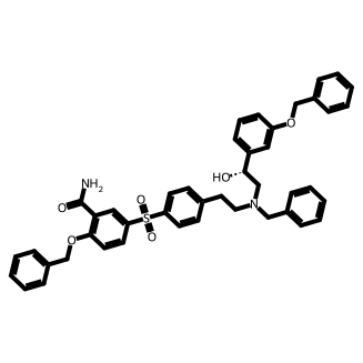 NC(=O)c1cc(S(=O)(=O)c2ccc(CCN(Cc3ccccc3)C[C@H](O)c3cccc(OCc4ccccc4)c3)cc2)ccc1OCc1ccccc1